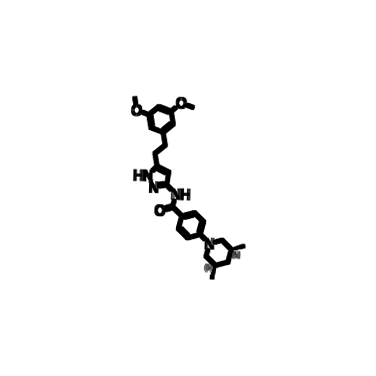 COc1cc(CCc2cc(NC(=O)c3ccc(N4C[C@H](C)C[C@H](C)C4)cc3)n[nH]2)cc(OC)c1